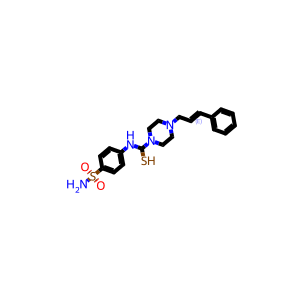 NS(=O)(=O)c1ccc(NC(S)N2CCN(C/C=C/c3ccccc3)CC2)cc1